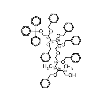 C[C@@H]([C@H](OCc1ccccc1)[C@H](C)CO)[C@@H](COC[C@H](OCc1ccccc1)[C@H](OCc1ccccc1)[C@@H](OCc1ccccc1)[C@H](COC(c1ccccc1)(c1ccccc1)c1ccccc1)OCc1ccccc1)OCc1ccccc1